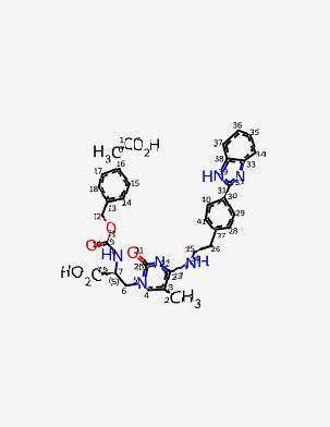 CC(=O)O.Cc1cn(C[C@H](NC(=O)OCc2ccccc2)C(=O)O)c(=O)nc1NCCc1ccc(-c2nc3ccccc3[nH]2)cc1